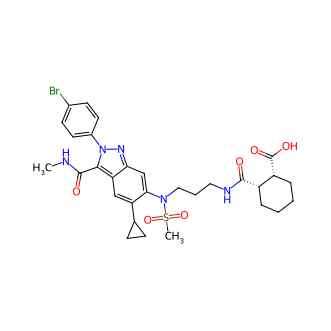 CNC(=O)c1c2cc(C3CC3)c(N(CCCNC(=O)[C@H]3CCCC[C@H]3C(=O)O)S(C)(=O)=O)cc2nn1-c1ccc(Br)cc1